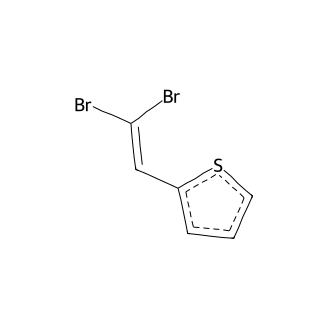 BrC(Br)=Cc1cccs1